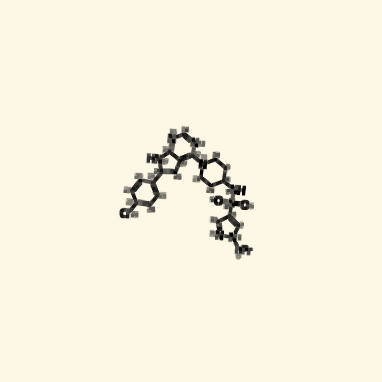 CCCn1cc(S(=O)(=O)NC2CCN(c3ncnc4[nH]c(-c5ccc(Cl)cc5)cc34)CC2)cn1